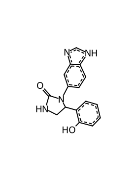 O=C1NCC(c2ccccc2O)N1c1ccc2[nH]cnc2c1